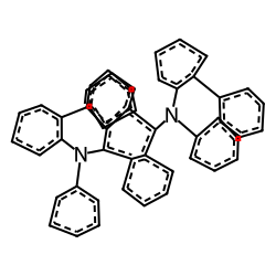 c1ccc(-c2ccccc2N(c2ccccc2)c2c3ccccc3c(N(c3ccccc3)c3ccccc3-c3ccccc3)c3ccccc23)cc1